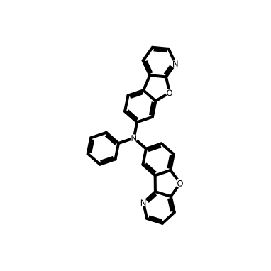 c1ccc(N(c2ccc3c(c2)oc2ncccc23)c2ccc3oc4cccnc4c3c2)cc1